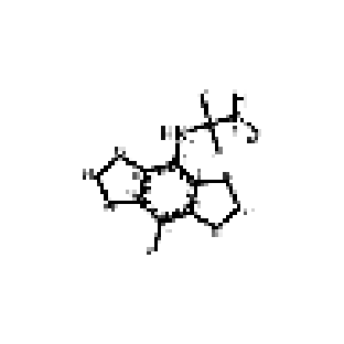 Cc1c2c(c(NC(C)(C)NI)c3c1CCC3)CCC2